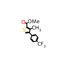 COC(=O)c1scc(-c2ccc(C(F)(F)F)cc2)c1C